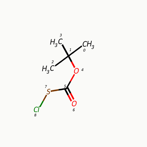 CC(C)(C)OC(=O)SCl